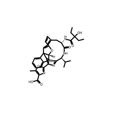 CCC(O)(CC)C(=O)N[C@H]1Cc2ccc3c(c2)C2(c4ccccc4N[C@H]2O3)c2oc(nc2-c2nc(C(=O)O)c(C)o2)[C@H](C(C)C)NC1=O